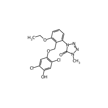 CCOc1cccc(-n2nnn(C)c2=O)c1COc1cc(Cl)c(O)cc1Cl